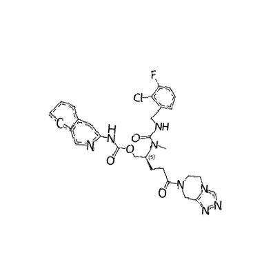 CN(C(=O)NCc1cccc(F)c1Cl)[C@@H](CCC(=O)N1CCn2cnnc2C1)COC(=O)Nc1cc2ccccc2cn1